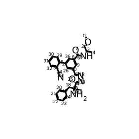 COCC(C)NC(=O)c1cc(-c2nnc([C@](C)(N)Cc3ccccc3)o2)cc(-c2ccccc2C#N)c1